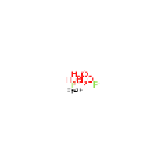 O.O.O.[F-].[F-].[Fe+2]